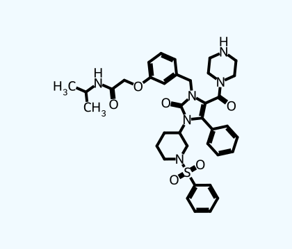 CC(C)NC(=O)COc1cccc(Cn2c(C(=O)N3CCNCC3)c(-c3ccccc3)n(C3CCCN(S(=O)(=O)c4ccccc4)C3)c2=O)c1